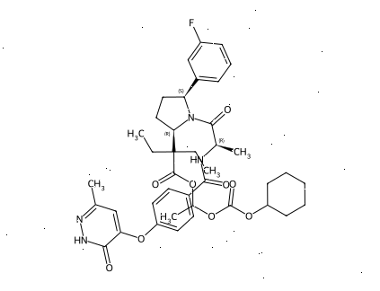 CCC(CC)(C(=O)OC(C)OC(=O)OC1CCCCC1)[C@H]1CC[C@@H](c2cccc(F)c2)N1C(=O)[C@@H](C)NC(=O)c1ccc(Oc2cc(C)n[nH]c2=O)cc1